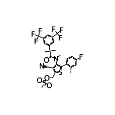 Cc1cc(F)ccc1-c1sc(COS(C)(=O)=O)c(C#N)c1N(C)C(=O)C(C)(C)c1cc(C(F)(F)F)cc(C(F)(F)F)c1